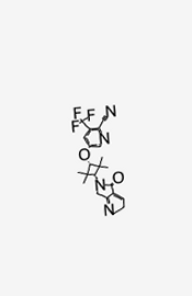 CC1(C)[C@H](Oc2cnc(C#N)c(C(F)(F)F)c2)C(C)(C)[C@H]1N1CC2=NCCC=C2C1=O